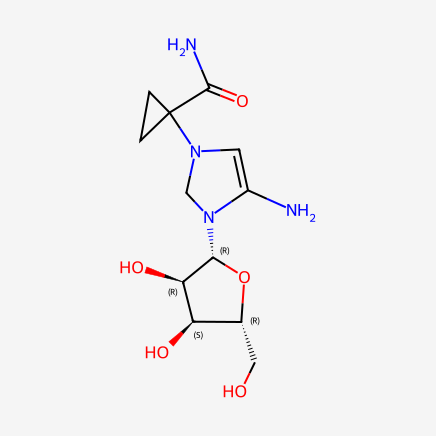 NC(=O)C1(N2C=C(N)N([C@@H]3O[C@H](CO)[C@@H](O)[C@H]3O)C2)CC1